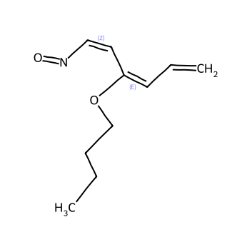 C=C/C=C(\C=C/N=O)OCCCC